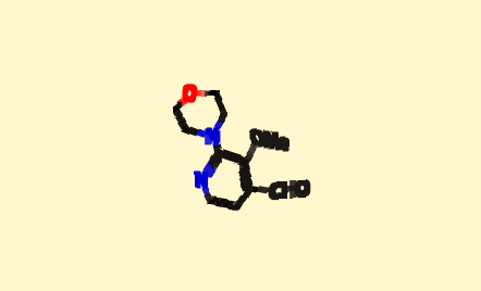 COc1c(C=O)ccnc1N1CCOCC1